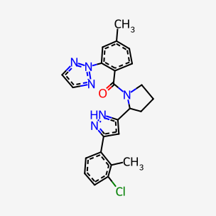 Cc1ccc(C(=O)N2CCCC2c2cc(-c3cccc(Cl)c3C)n[nH]2)c(-n2nccn2)c1